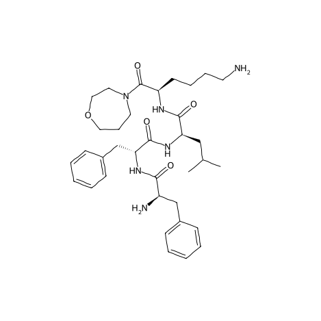 CC(C)C[C@@H](NC(=O)[C@@H](Cc1ccccc1)NC(=O)[C@H](N)Cc1ccccc1)C(=O)N[C@H](CCCCN)C(=O)N1CCCOCC1